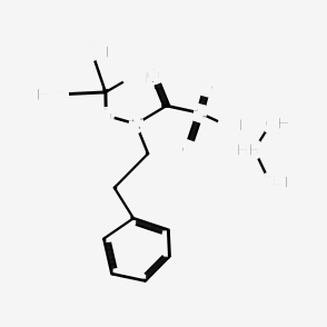 CC(C)(C)ON(CCc1ccccc1)C(=O)S(C)(=O)=O.OBO